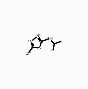 CC(C)Nc1nnc(Cl)s1